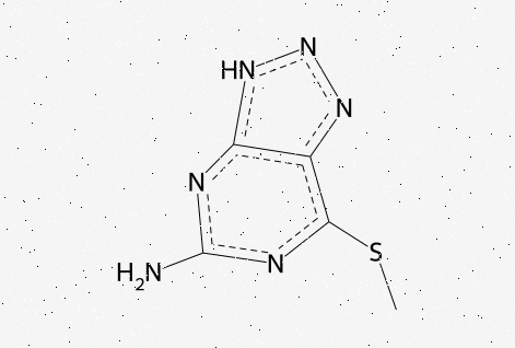 CSc1nc(N)nc2[nH]nnc12